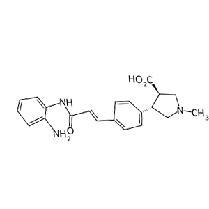 CN1C[C@H](C(=O)O)[C@@H](c2ccc(C=CC(=O)Nc3ccccc3N)cc2)C1